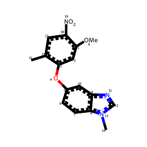 COc1cc(Oc2ccc3c(c2)ncn3C)c(C)cc1[N+](=O)[O-]